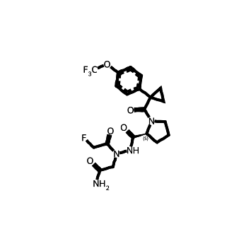 NC(=O)CN(NC(=O)[C@@H]1CCCN1C(=O)C1(c2ccc(OC(F)(F)F)cc2)CC1)C(=O)CF